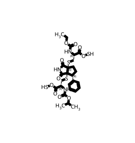 CCOC(=O)N[C@@H](CS[C@]12CC[C@H](c3ccccc3)[C@@]1(SC[C@H](NC(=O)OC(C)C)C(=O)OS)C(=O)NC2=O)C(=O)OS